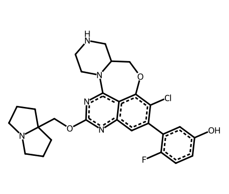 Oc1ccc(F)c(-c2cc3nc(OCC45CCCN4CCC5)nc4c3c(c2Cl)OCC2CNCCN42)c1